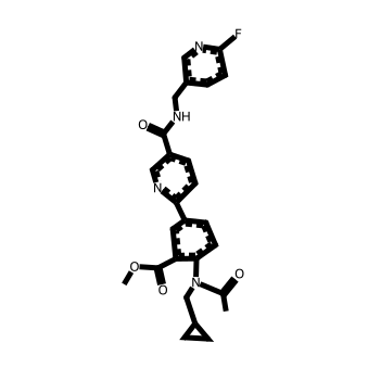 COC(=O)c1cc(-c2ccc(C(=O)NCc3ccc(F)nc3)cn2)ccc1N(CC1CC1)C(C)=O